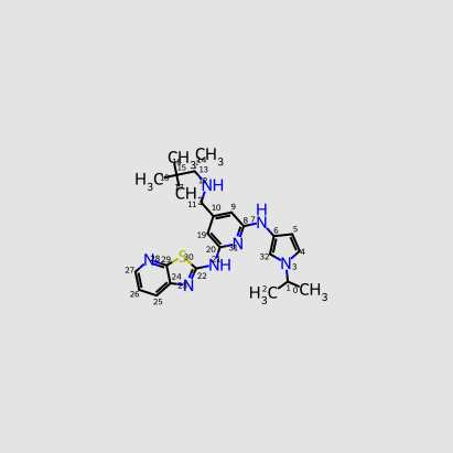 CC(C)n1ccc(Nc2cc(CN[C@@H](C)C(C)(C)C)cc(Nc3nc4cccnc4s3)n2)c1